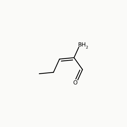 BC(C=O)=CCC